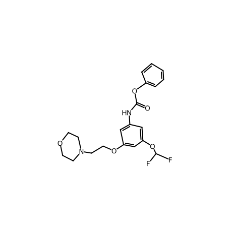 O=C(Nc1cc(OCCN2CCOCC2)cc(OC(F)F)c1)Oc1ccccc1